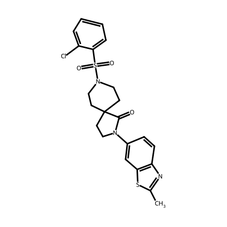 Cc1nc2ccc(N3CCC4(CCN(S(=O)(=O)c5ccccc5Cl)CC4)C3=O)cc2s1